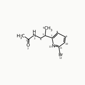 CC(=O)NCC(C)c1cccc(Br)n1